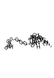 CCn1nc(C2CC2)cc1Nc1nc(C(=O)NCCCOCCOCCOCCCc2cccc3c2CN(C2CCC(=O)NC2=O)C3=O)nc2[nH]c3cc(-c4c(C)noc4C)c(OC)cc3c12